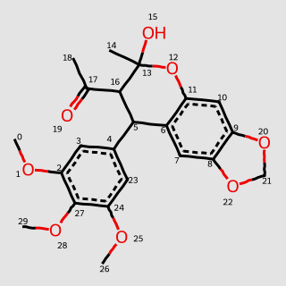 COc1cc(C2c3cc4c(cc3OC(C)(O)C2C(C)=O)OCO4)cc(OC)c1OC